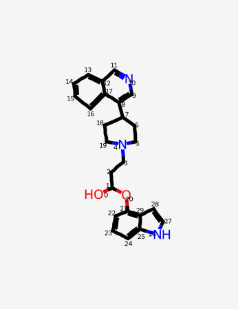 OC(CCN1CCC(c2cncc3ccccc23)CC1)Oc1cccc2[nH]ccc12